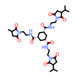 CC1CC(=O)N(CCNC(=O)[C@H]2C[C@@H](C(=O)NCCN3C(=O)CC(C(C)C)C3=O)C[C@@H](C(=O)NCCN3C(=O)CC(C(C)C)C3=O)C2)C1=O